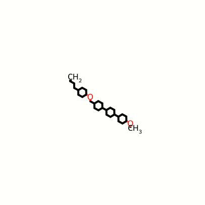 C=CCCC1CCC(OCC2CCC(C3CCC(C4CCC(OC)CC4)CC3)CC2)CC1